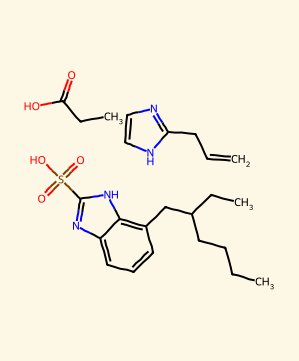 C=CCc1ncc[nH]1.CCC(=O)O.CCCCC(CC)Cc1cccc2nc(S(=O)(=O)O)[nH]c12